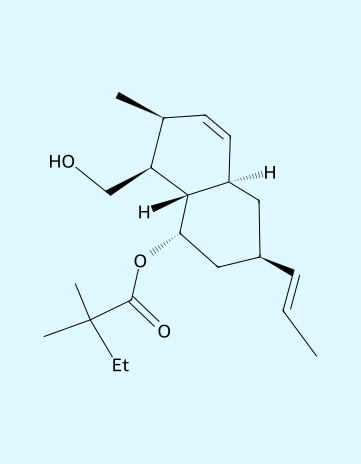 CC=C[C@H]1C[C@H](OC(=O)C(C)(C)CC)[C@@H]2[C@@H](CO)[C@@H](C)C=C[C@H]2C1